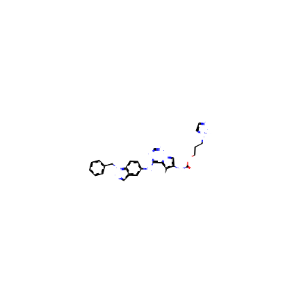 CCc1c(NC(=O)OCCCn2ccnn2)cn2ncnc(Nc3ccc4c(cnn4Cc4ccccc4)c3)c12